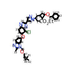 CCOC(=O)CC(CC1CC(OCc2ccccc2)C1)n1cc(-c2cnc3ccc(Oc4ccc5nc(C)n(COCC[Si](C)(C)C)c5c4)c(Cl)c3n2)cn1